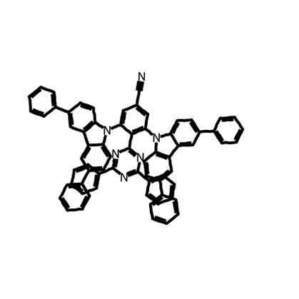 N#Cc1cc(-n2c3ccc(-c4ccccc4)cc3c3cc(-c4ccccc4)ccc32)c(-c2nc(-c3ccccc3)nc(-c3ccccc3)n2)c(-n2c3ccc(-c4ccccc4)cc3c3cc(-c4ccccc4)ccc32)c1